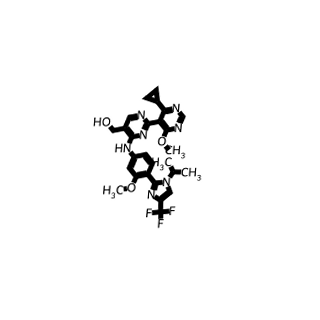 COc1cc(Nc2nc(-c3c(OC)ncnc3C3CC3)ncc2CO)ccc1-c1nc(C(F)(F)F)cn1C(C)C